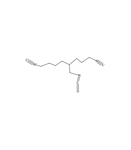 [C-]#[N+]CCCCC(CCC[N+]#[C-])CN=C=O